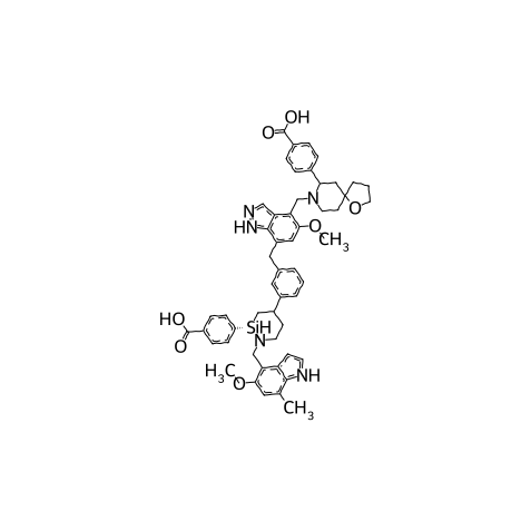 COc1cc(C)c2[nH]ccc2c1CN1CCC(c2cccc(Cc3cc(OC)c(CN4CCC5(CCCO5)CC4c4ccc(C(=O)O)cc4)c4cn[nH]c34)c2)C[Si@H]1c1ccc(C(=O)O)cc1